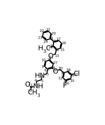 CC(=O)NCCNCc1ccc(OCc2cccc(-c3ccccc3)c2C)cc1OCc1cc(F)cc(Cl)c1